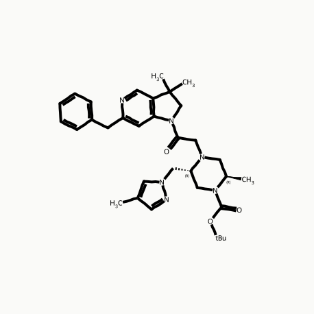 Cc1cnn(C[C@H]2CN(C(=O)OC(C)(C)C)[C@H](C)CN2CC(=O)N2CC(C)(C)c3cnc(Cc4ccccc4)cc32)c1